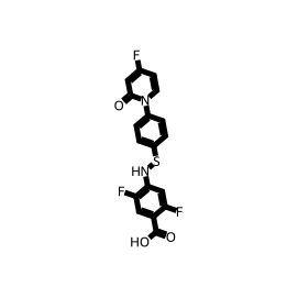 O=C(O)c1cc(F)c(NSc2ccc(-n3ccc(F)cc3=O)cc2)cc1F